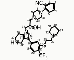 N#Cc1ccccc1N1CCN(CC(O)Cn2nc(-c3ccc(C(F)(F)F)c(SCCN4CCCCC4)c3)c3c2CCNC3)CC1